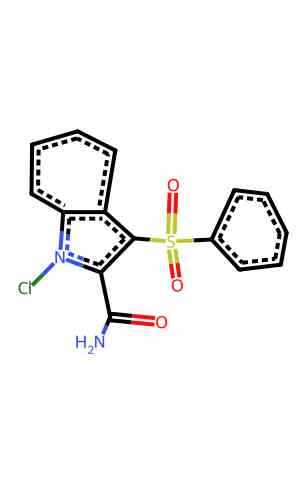 NC(=O)c1c(S(=O)(=O)c2ccccc2)c2ccccc2n1Cl